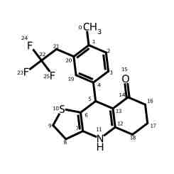 Cc1ccc(C2C3=C(CCS3)NC3=C2C(=O)CCC3)cc1CC(F)(F)F